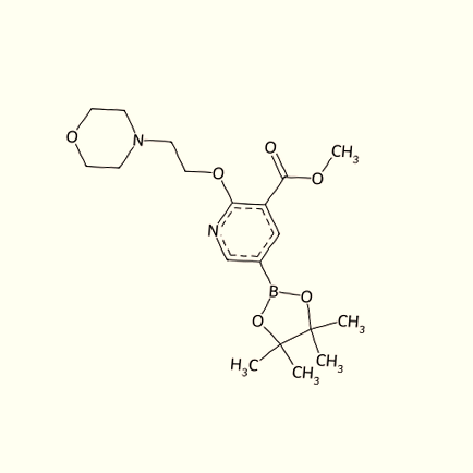 COC(=O)c1cc(B2OC(C)(C)C(C)(C)O2)cnc1OCCN1CCOCC1